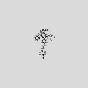 Cc1sc2c(c1C)C(c1ccc(CCCOC3CCNCC3)cc1)=N[C@@H](Cc1ccccn1)c1nnc(C)n1-2